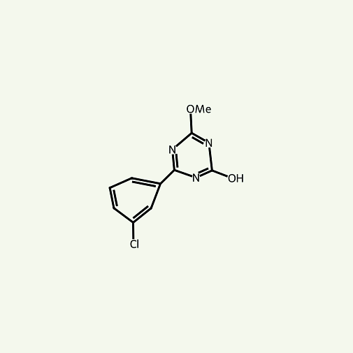 COc1nc(O)nc(-c2cccc(Cl)c2)n1